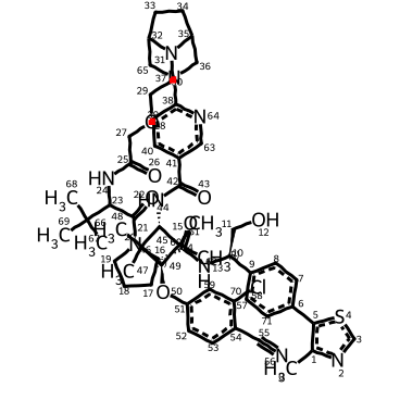 Cc1ncsc1-c1ccc([C@H](CO)NC(=O)[C@@H]2CCCN2C(=O)C(NC(=O)COCCN2C3CCC2CN(c2ccc(C(=O)N[C@H]4C(C)(C)[C@H](Oc5ccc(C#N)c(Cl)c5)C4(C)C)cn2)C3)C(C)(C)C)cc1